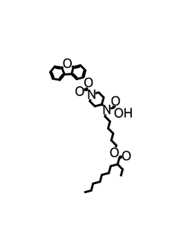 CCCCCCCC(CC)C(=O)OCCCCCCN(C(=O)O)C1CCN(C(=O)Oc2ccc3oc4ccccc4c3c2)CC1